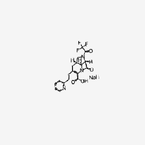 O=C(O)C1=C(/C=C/c2ccccn2)C[C@@H]2CN(C(=O)C(F)(F)F)[C@@H]3C(=O)N1[C@H]23.[NaH]